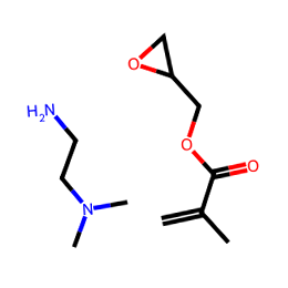 C=C(C)C(=O)OCC1CO1.CN(C)CCN